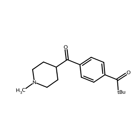 CN1CCC(C(=O)c2ccc(C(=O)C(C)(C)C)cc2)CC1